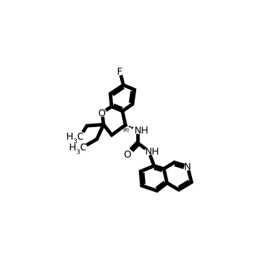 CCC1(CC)C[C@@H](NC(=O)Nc2cccc3ccncc23)c2ccc(F)cc2O1